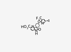 O=C(O)c1ccc2c(n1)C1(CCC(Oc3ncc(C4CC4)cc3C(F)(F)F)CC1)C(=O)N2